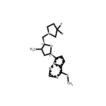 CSc1ncnn2c([C@H]3CC(C)[C@@H](CN4CCC(F)(F)C4)O3)ccc12